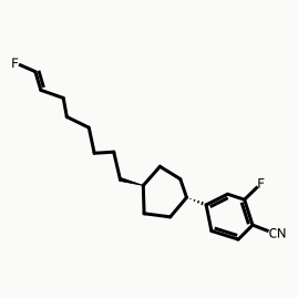 N#Cc1ccc([C@H]2CC[C@H](CCCCCC/C=C/F)CC2)cc1F